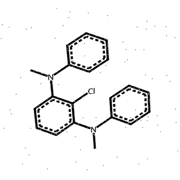 CN(c1ccccc1)c1cccc(N(C)c2ccccc2)c1Cl